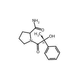 C[C@](O)(C(=O)N1CCCC1C(N)=O)c1ccccc1